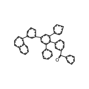 O=C(c1ccccc1)c1cccc(-c2c(-c3ccccc3)cc(-c3cccc(-c4cccc5ccccc45)c3)cc2-c2ccccc2)c1